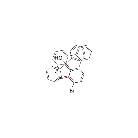 OC(c1ccccc1)(c1ccccc1)c1cc(Br)ccc1-c1ccccc1-c1cccc2ccccc12